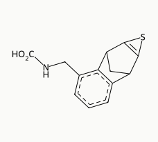 O=C(O)NCc1cccc2c1C1CC2C2=C1S2